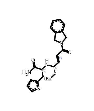 CC(C)(C)C[C@@H](/C=C/C(=O)N1Cc2ccccc2C1)N[C@@H](Cc1cccs1)C(N)=O